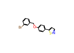 Brc1cccc(COc2ccc(-c3ccns3)cc2)c1